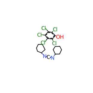 C(=NC1CCCCC1)=NC1CCCCC1.Oc1c(Cl)c(Cl)c(Cl)c(Cl)c1Cl